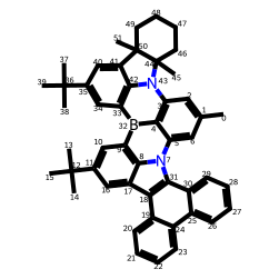 Cc1cc2c3c(c1)-n1c4c(cc(C(C)(C)C)cc4c4c5ccccc5c5ccccc5c41)B3c1cc(C(C)(C)C)cc3c1N2C1(C)CCCCC31C